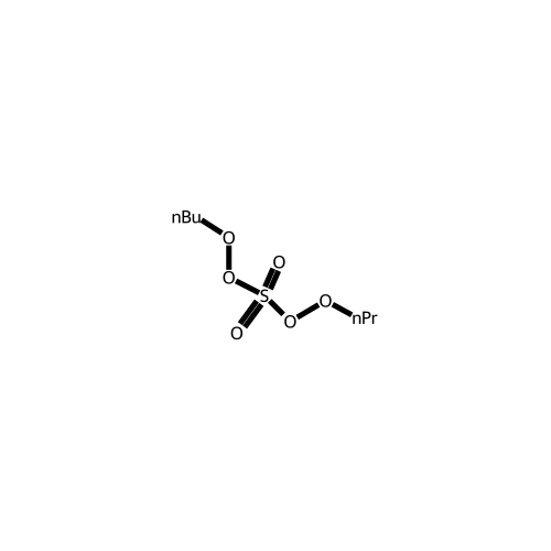 CCCCOOS(=O)(=O)OOCCC